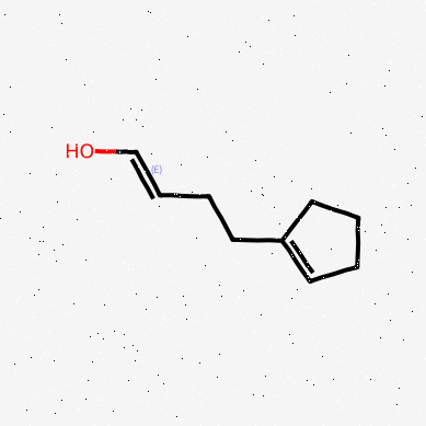 O/C=C/CCC1=CCCC1